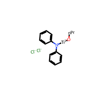 CCC[O][Ti+2][N](c1ccccc1)c1ccccc1.[Cl-].[Cl-]